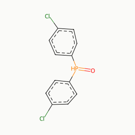 O=[PH](c1ccc(Cl)cc1)c1ccc(Cl)cc1